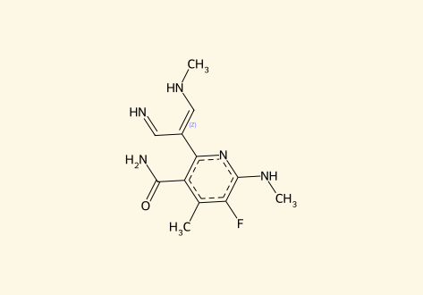 CN/C=C(\C=N)c1nc(NC)c(F)c(C)c1C(N)=O